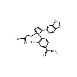 Cc1cc(C(N)=O)ccc1-n1c(CCC(=O)O)ccc1-c1ccc2c(c1)OCO2